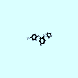 Cc1ccc(Oc2cc(Cl)ccc2O[C@H]2CCNC2)cc1